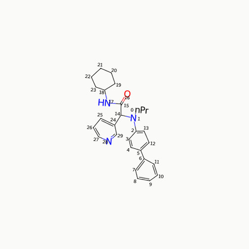 CCCN(c1ccc(-c2ccccc2)cc1)C(C(=O)NC1CCCCC1)c1cccnc1